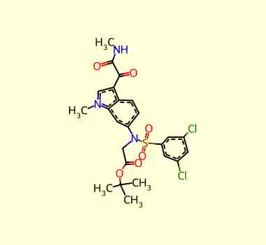 CNC(=O)C(=O)c1cn(C)c2cc(N(CC(=O)OC(C)(C)C)S(=O)(=O)c3cc(Cl)cc(Cl)c3)ccc12